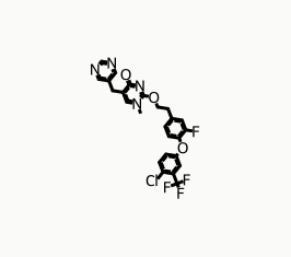 Cn1cc(Cc2cncnc2)c(=O)nc1OCCc1ccc(Oc2ccc(Cl)c(C(F)(F)F)c2)c(F)c1